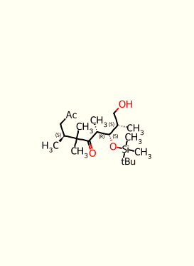 CC(=O)C[C@H](C)C(C)(C)C(=O)[C@H](C)[C@@H](O[Si](C)(C)C(C)(C)C)[C@@H](C)CO